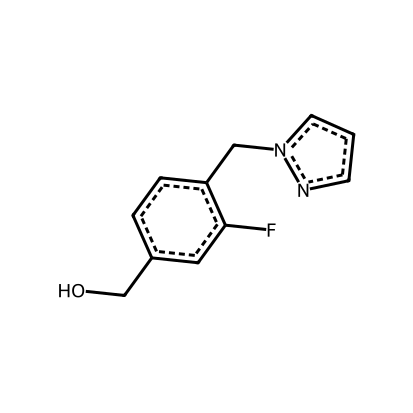 OCc1ccc(Cn2cccn2)c(F)c1